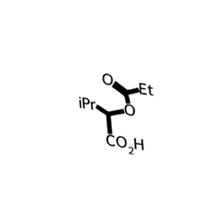 CCC(=O)OC(C(=O)O)C(C)C